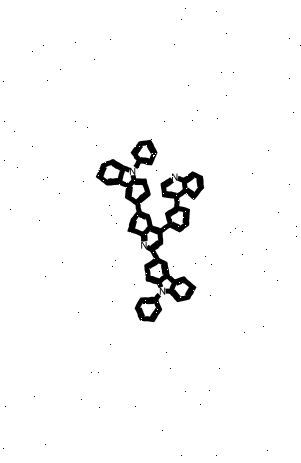 c1ccc(-n2c3ccccc3c3cc(-c4ccc5nc(-c6ccc7c(c6)c6ccccc6n7-c6ccccc6)cc(-c6cccc(-c7ccnc8ccccc78)c6)c5c4)ccc32)cc1